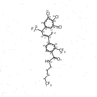 O=C(NCCSCC(F)(F)F)c1ccc(/C(F)=C/C(c2cc(Cl)c(Cl)c(Cl)c2)C(F)(F)F)cc1C(F)(F)F